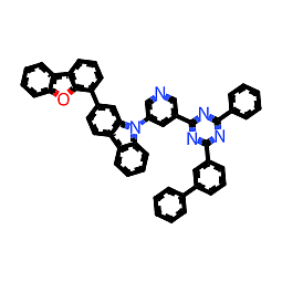 c1ccc(-c2cccc(-c3nc(-c4ccccc4)nc(-c4cncc(-n5c6ccccc6c6ccc(-c7cccc8c7oc7ccccc78)cc65)c4)n3)c2)cc1